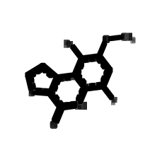 COc1cc(F)c2[nH]c(=O)c3sccc3c2c1Br